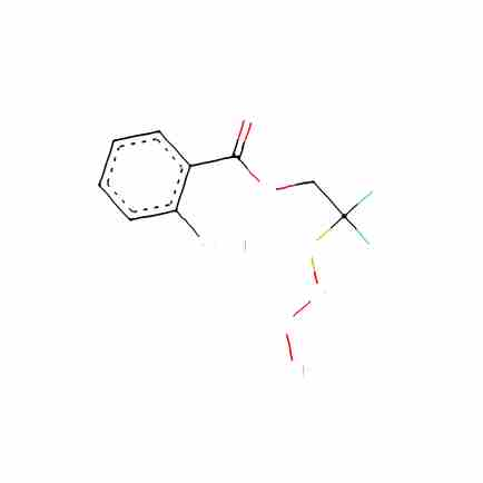 O=C(O)c1ccccc1C(=O)OCC(F)(F)SOOO